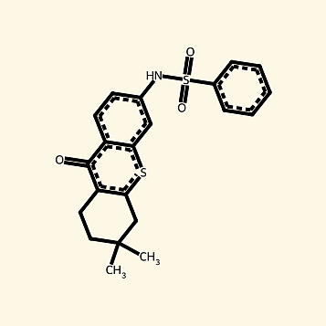 CC1(C)CCc2c(sc3cc(NS(=O)(=O)c4ccccc4)ccc3c2=O)C1